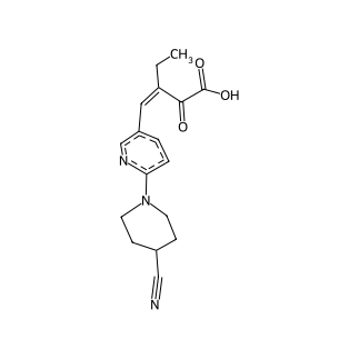 CCC(=Cc1ccc(N2CCC(C#N)CC2)nc1)C(=O)C(=O)O